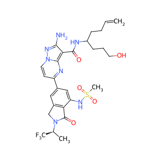 C=CCCC(CCCO)NC(=O)c1c(N)nn2ccc(-c3cc4c(c(NS(C)(=O)=O)c3)C(=O)N([C@@H](C)C(F)(F)F)C4)nc12